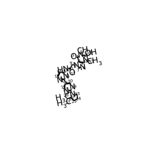 CN1C(=O)c2c(ncn2CC(=O)Nc2ccnc(-c3cnc(N4CCCC4(C)C)nc3)n2)N(C)C1O